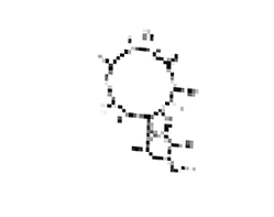 C=C1C[C@@H](O)[C@H](C)[C@@H](OC2OC(C)CC(NC)C2O)[C@@H](CC)C[C@@H](C)C(=O)CCC(C)C[C@H](C)[C@@H](CC)O1